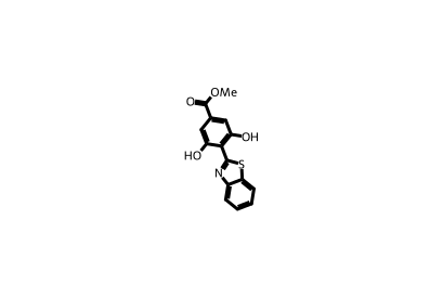 COC(=O)c1cc(O)c(-c2nc3ccccc3s2)c(O)c1